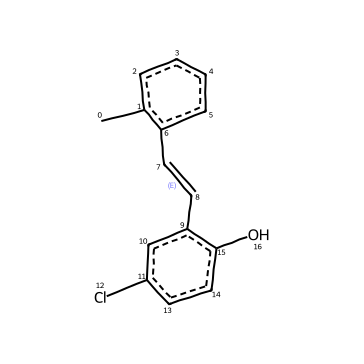 Cc1ccccc1/C=C/c1cc(Cl)ccc1O